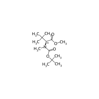 COC(=O)[C@@H](N(C)C(=O)OC(C)(C)C)C(C)(C)C